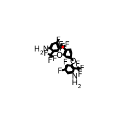 Nc1cc(F)c(F)c(Oc2ccc(C(F)(F)F)c(Oc3c(F)c(F)cc(N)c3C(F)(F)F)c2)c1C(F)(F)F